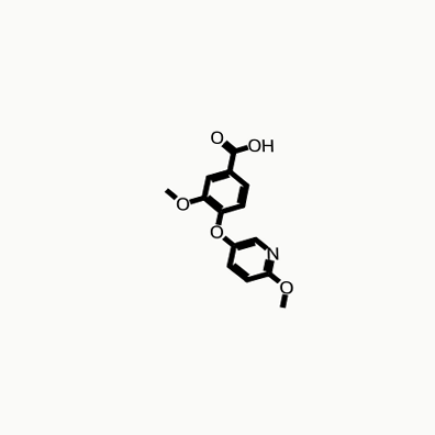 COc1ccc(Oc2ccc(C(=O)O)cc2OC)cn1